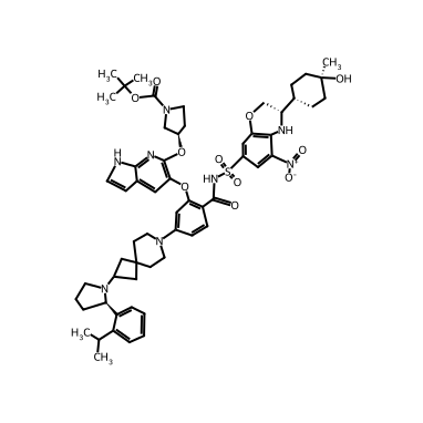 CC(C)c1ccccc1[C@H]1CCCN1C1CC2(CCN(c3ccc(C(=O)NS(=O)(=O)c4cc5c(c([N+](=O)[O-])c4)N[C@@H]([C@H]4CC[C@](C)(O)CC4)CO5)c(Oc4cc5cc[nH]c5nc4O[C@@H]4CCN(C(=O)OC(C)(C)C)C4)c3)CC2)C1